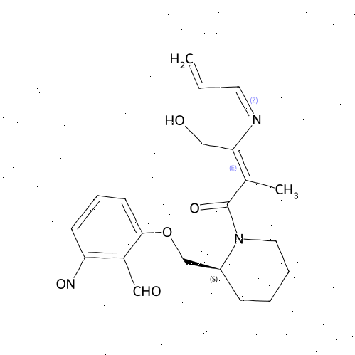 C=C/C=N\C(CO)=C(/C)C(=O)N1CCCC[C@H]1COc1cccc(N=O)c1C=O